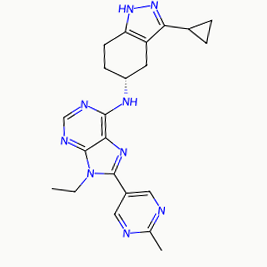 CCn1c(-c2cnc(C)nc2)nc2c(N[C@@H]3CCc4[nH]nc(C5CC5)c4C3)ncnc21